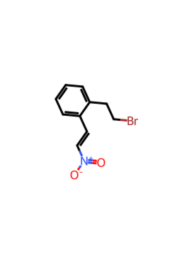 O=[N+]([O-])/C=C/c1ccccc1CCBr